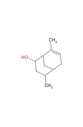 CC1=CCC2CC1C(O)CC2C